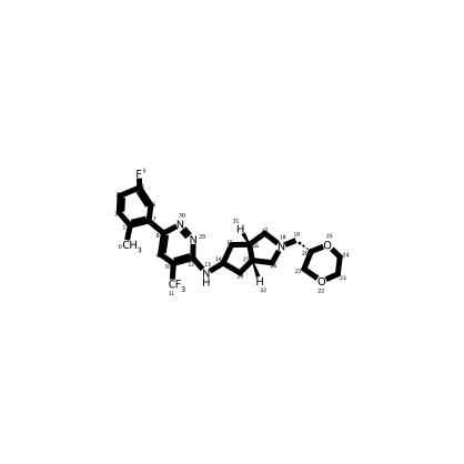 Cc1ccc(F)cc1-c1cc(C(F)(F)F)c(NC2C[C@@H]3CN(C[C@H]4COCCO4)C[C@@H]3C2)nn1